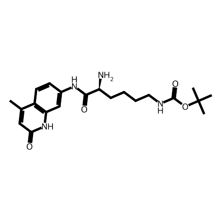 Cc1cc(=O)[nH]c2cc(NC(=O)[C@@H](N)CCCCNC(=O)OC(C)(C)C)ccc12